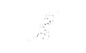 CC1C[C@H](O)C(C)(C)[C@@H]2CC[C@]3(C)[C@H](CC[C@@H]4C5=C(C(C)(C)C)C(=O)C[C@]5(/C=C/C(=O)O)CC[C@H]43)[C@@H]12